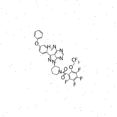 Nc1ncnc2c1c(-c1ccc(Oc3ccccc3)cc1)nn2[C@@H]1CCCN(S(=O)(=O)c2c(F)c(F)c(F)c(F)c2OCC(F)(F)F)C1